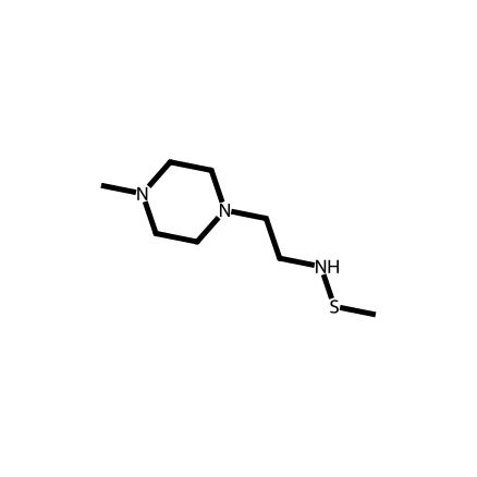 CSNCCN1CCN(C)CC1